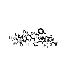 CCC(=O)N(C)[C@H](C(=O)N[C@H](C(=O)N(C)[C@@H]([C@@H](C)CC)[C@@H](CC(=O)N1CCC[C@H]1[C@H](OC)[C@@H](C)C(=O)N[C@@H](Cc1ccccc1)C(=O)NS(=O)(=O)C1CC1)OC)C(C)C)C(C)C